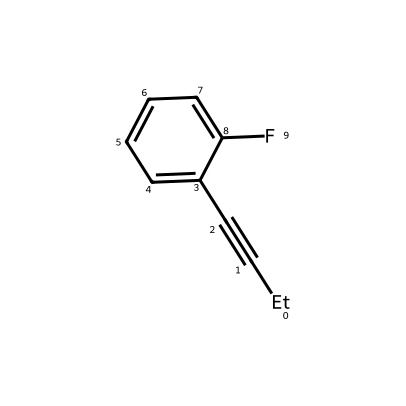 [CH2]CC#Cc1ccccc1F